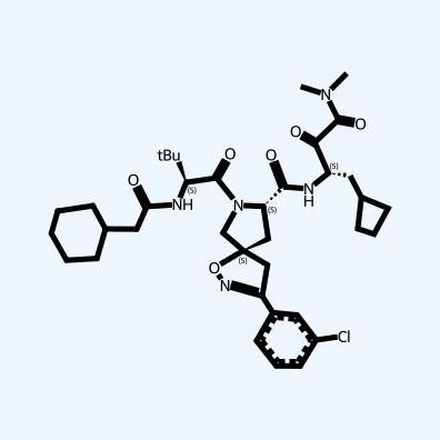 CN(C)C(=O)C(=O)[C@H](CC1CCC1)NC(=O)[C@@H]1C[C@]2(CC(c3cccc(Cl)c3)=NO2)CN1C(=O)[C@@H](NC(=O)CC1CCCCC1)C(C)(C)C